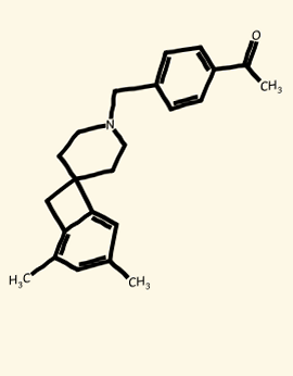 CC(=O)c1ccc(CN2CCC3(CC2)Cc2c(C)cc(C)cc23)cc1